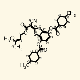 CC(C)=CCOC(=O)C(C#N)=C1Sc2c(OC(=O)C3CCC(C)CC3)ccc(OC(=O)C3CCC(C)CC3)c2S1